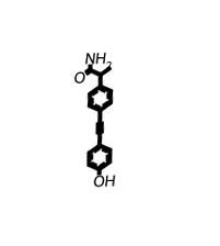 CC(C(N)=O)c1ccc(C#Cc2ccc(O)cc2)cc1